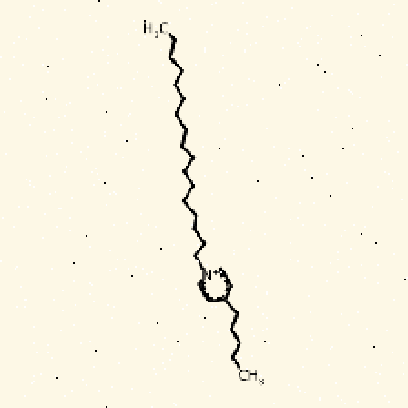 CCCCCCCCCCCCCCCCC[n+]1ccc(CCCCC)cc1